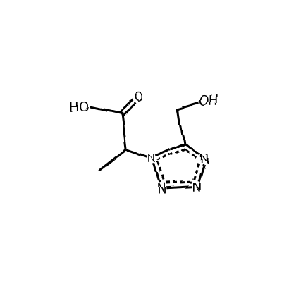 CC(C(=O)O)n1nnnc1CO